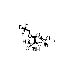 CS(=O)(=O)OC(C(=O)OCC(F)(F)F)P(=O)(O)O